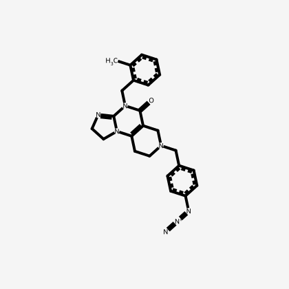 Cc1ccccc1CN1C(=O)C2=C(CCN(Cc3ccc(N=[N+]=[N-])cc3)C2)N2CCN=C12